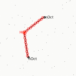 CCCCCCCCc1ccc(OCCOCCOCCOCCOCCOCCOCCOCCOCCOCCOP(=O)(O)OCCOCCOCCOCCOCCOCCOCCOCCOCCOCCOc2ccc(CCCCCCCC)cc2)cc1